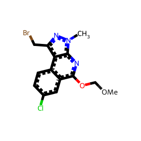 COCOc1nc2c(c(CBr)nn2C)c2ccc(Cl)cc12